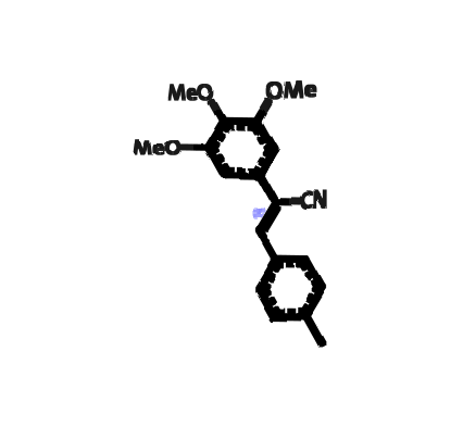 COc1cc(/C(C#N)=C/c2ccc(C)cc2)cc(OC)c1OC